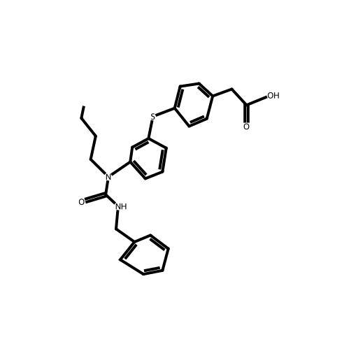 CCCCN(C(=O)NCc1ccccc1)c1cccc(Sc2ccc(CC(=O)O)cc2)c1